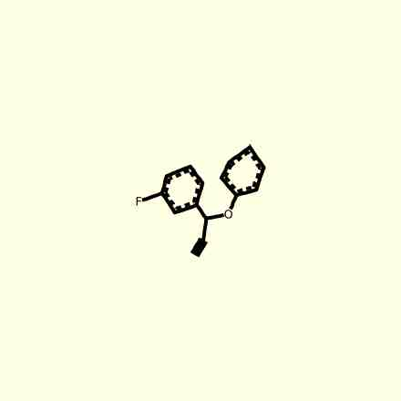 C#CC(Oc1cc[c]cc1)c1cccc(F)c1